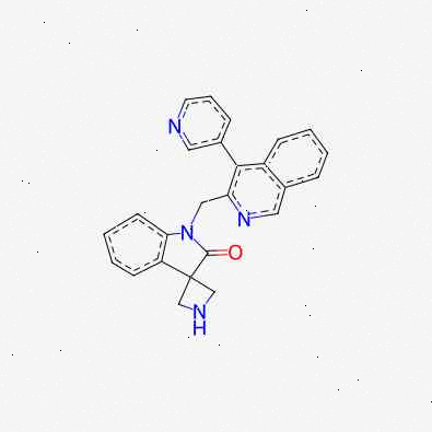 O=C1N(Cc2ncc3ccccc3c2-c2cccnc2)c2ccccc2C12CNC2